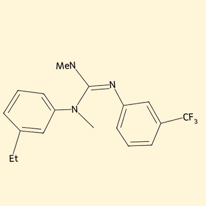 CCc1cccc(N(C)/C(=N\c2cccc(C(F)(F)F)c2)NC)c1